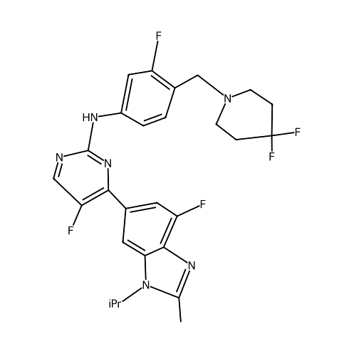 Cc1nc2c(F)cc(-c3nc(Nc4ccc(CN5CCC(F)(F)CC5)c(F)c4)ncc3F)cc2n1C(C)C